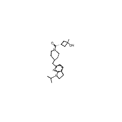 CC(C)N1CCc2ccc(CC3CCN(C(=O)[C@H]4C[C@@](C)(O)C4)CC3)nc21